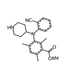 COC(=O)c1c(C)cc(C)c(N(c2ccccc2C#N)C2CCNCC2)c1C